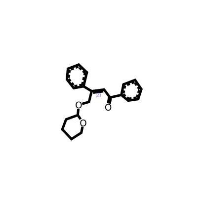 O=C(/C=C(\COC1CCCCO1)c1ccccc1)c1ccccc1